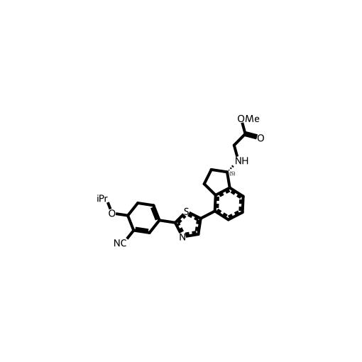 COC(=O)CN[C@H]1CCc2c(-c3cnc(C4=CCC(OC(C)C)C(C#N)=C4)s3)cccc21